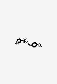 COc1ccc(C=NOC(=O)c2cn(C)cn2)cc1